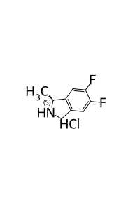 C[C@@H]1NCc2cc(F)c(F)cc21.Cl